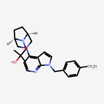 CCOC(=O)c1ccc(Cn2ccc3c(N4C[C@H]5CC[C@@H](C4)N5CC(C)(C)O)ccnc32)cc1